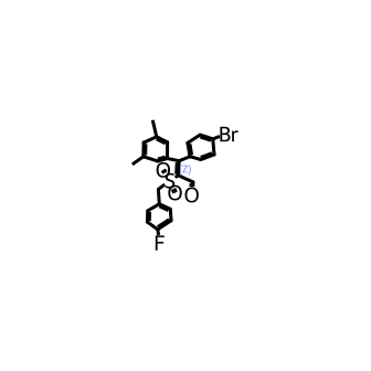 Cc1cc(C)cc(/C(=C(/C=O)S(=O)(=O)Cc2ccc(F)cc2)c2ccc(Br)cc2)c1